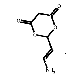 NC=CC1OC(=O)CC(=O)O1